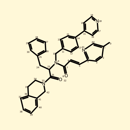 Cc1ccc(C=CC(=O)N(Cc2ccc(-c3ccncc3)cc2)C(Cc2ccccc2)C(=O)N2CCc3ccccc3C2)nc1